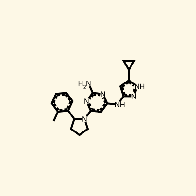 Cc1ccccc1C1CCCN1c1cc(Nc2cc(C3CC3)[nH]n2)nc(N)n1